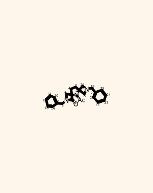 CC(=O)N1C2(CCC13CN(Cc1ccccc1)C3=O)CN(Cc1ccccc1)C2